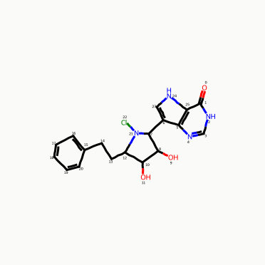 O=c1[nH]cnc2c(C3C(O)C(O)C(CCc4ccccc4)N3Cl)c[nH]c12